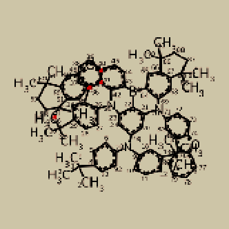 CC(C)(C)c1ccc(N(c2cccc(C(C)(C)C)c2)c2cc3c4c(c2)N(c2ccc(C(C)(C)C)cc2-c2ccccc2)c2c(ccc5oc6cc7c(cc6c25)C(C)(C)CCC7(C)C)B4c2cc4c(cc2N3c2ccc3oc5ccccc5c3c2)C(C)(C)CCC4(C)C)cc1